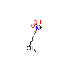 CCCCCCCCCOn1cccc1C(=O)O